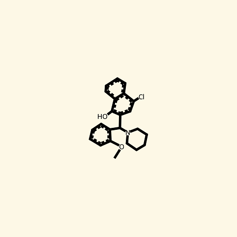 COc1ccccc1C(c1cc(Cl)c2ccccc2c1O)N1CCCCC1